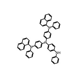 c1ccc(Nc2ccc(N(c3ccc(N(c4ccccc4)c4cccc5ccccc45)cc3)c3ccc(N(c4ccccc4)c4cccc5ccccc45)cc3)cc2)cc1